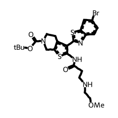 COCCNCCC(=O)Nc1sc2c(c1-c1nc3ccc(Br)cc3s1)CCN(C(=O)OC(C)(C)C)C2